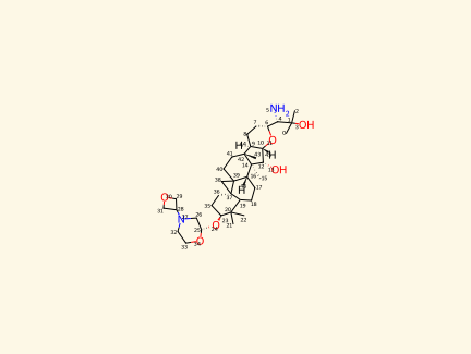 CC(C)(O)[C@@H](N)[C@H]1CC[C@H]2[C@H](O1)[C@H](O)[C@@]1(C)[C@@H]3CCC4C(C)(C)[C@@H](O[C@H]5CN(C6COC6)CCO5)CC[C@@]45CC35CC[C@]21C